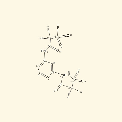 O=C(Nc1cccc(NC(=O)C(F)(F)S(=O)(=O)F)c1)C(F)(F)S(=O)(=O)F